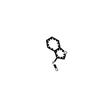 O=Pc1coc2ccccc12